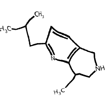 CC(C)Cc1ccc2c(n1)C(C)CNC2